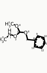 CNOC(OC)OCc1ccccc1